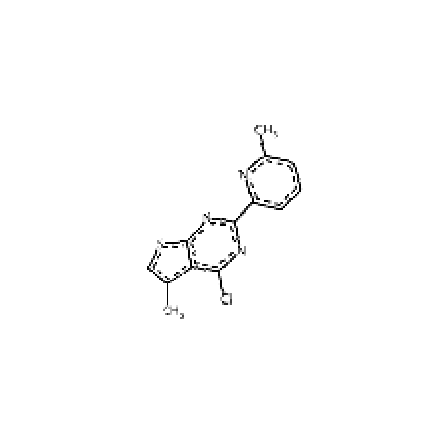 Cc1cccc(-c2nc(Cl)c3c(C)csc3n2)n1